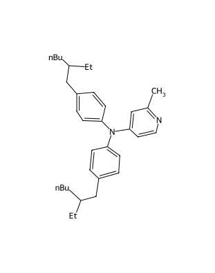 CCCCC(CC)Cc1ccc(N(c2ccc(CC(CC)CCCC)cc2)c2ccnc(C)c2)cc1